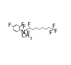 CN(c1ccc(F)cc1F)C(F)(F)C(F)CCCCCCC(F)(F)F